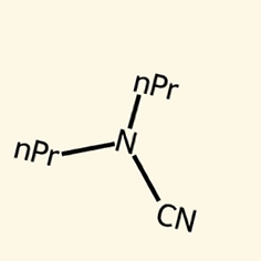 CCCN(C#N)CCC